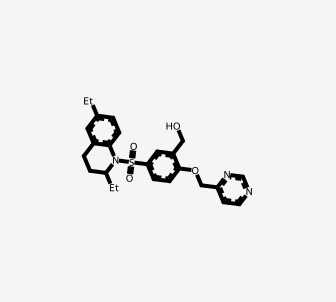 CCc1ccc2c(c1)CCC(CC)N2S(=O)(=O)c1ccc(OCc2ccncn2)c(CO)c1